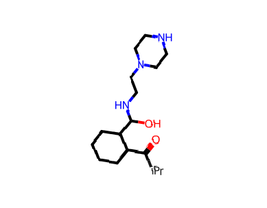 CC(C)C(=O)C1CCCCC1C(O)NCCN1CCNCC1